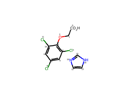 O=C(O)COc1c(Cl)cc(Cl)cc1Cl.c1c[nH]cn1